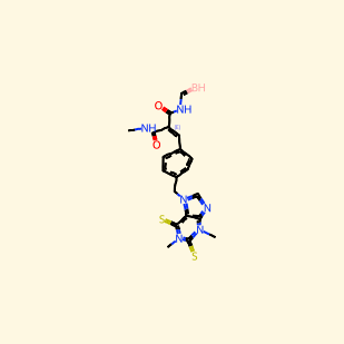 B=CNC(=O)/C(=C/c1ccc(Cn2cnc3c2c(=S)n(C)c(=S)n3C)cc1)C(=O)NC